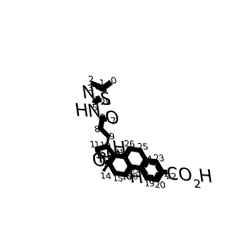 Cc1cnc(NC(=O)CC[C@@H]2CO[C@@]3(C)CC[C@@H]4c5ccc(C(=O)O)cc5CC[C@H]4[C@H]23)s1